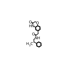 C[C@H](CNC(=O)Cc1ccc2c(c1)NC(=O)CO2)c1ccccc1